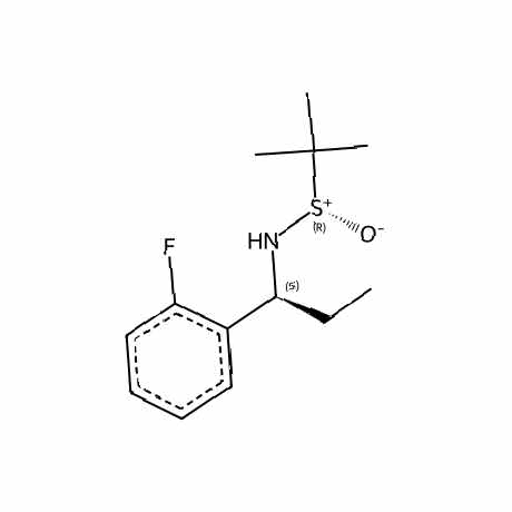 CC[C@H](N[S@@+]([O-])C(C)(C)C)c1ccccc1F